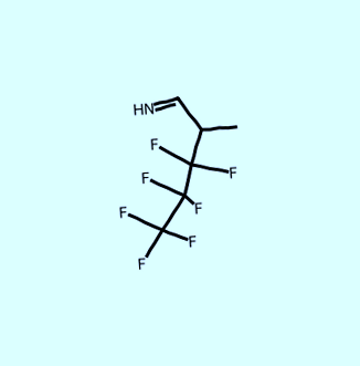 CC(C=N)C(F)(F)C(F)(F)C(F)(F)F